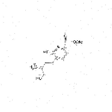 COC(=O)c1ccc(CCC(C)CO)c(F)c1